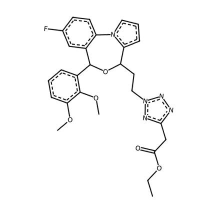 CCOC(=O)Cc1nnn(CCC2OC(c3cccc(OC)c3OC)c3cc(F)ccc3-n3cccc32)n1